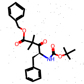 CC(C)(C)OC(=O)N[C@@H](Cc1ccccc1)C(=O)C(C)(C)C(=O)OCc1ccccc1